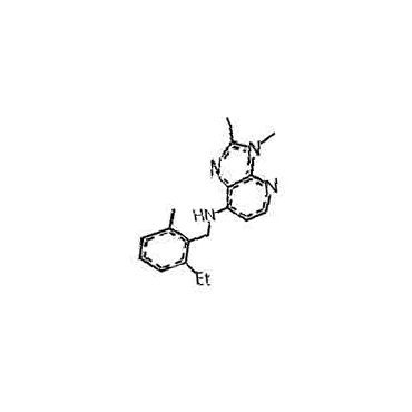 CCc1cccc(C)c1CNc1ccnc2c1nc(C)n2C